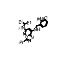 CCC(CC)Nc1cc(NCc2ccccc2OC)c2nnc(C(C)C)n2n1